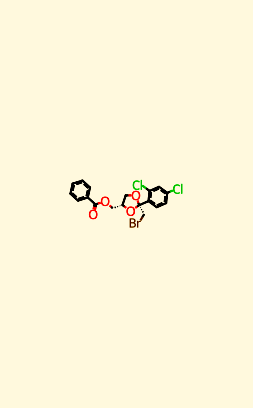 O=C(OC[C@@H]1CO[C@@](CBr)(c2ccc(Cl)cc2Cl)O1)c1ccccc1